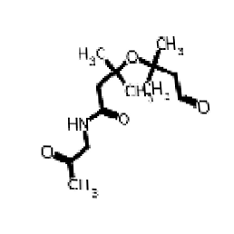 CC(=O)CNC(=O)CC(C)(C)OC(C)(C)CC=O